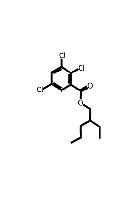 CCCC(CC)COC(=O)c1[c]c(Cl)cc(Cl)c1Cl